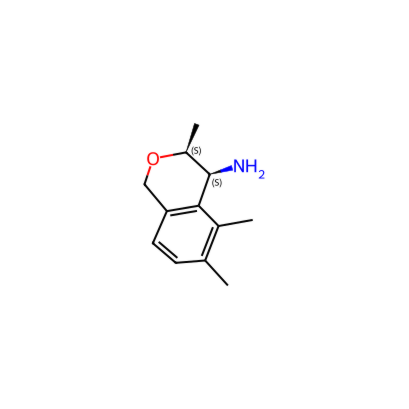 Cc1ccc2c(c1C)[C@H](N)[C@H](C)OC2